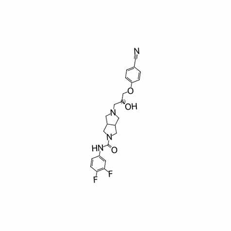 N#Cc1ccc(OC[C@@H](O)CN2CC3CN(C(=O)Nc4ccc(F)c(F)c4)CC3C2)cc1